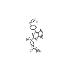 Cn1cnc2c(-c3ccc(OC(F)(F)F)cc3)nc(C3(C#N)CN(C(=O)OC(C)(C)C)C3)nc21